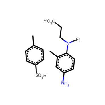 CCN(CCC(=O)O)c1ccc(N)cc1C.Cc1ccc(S(=O)(=O)O)cc1